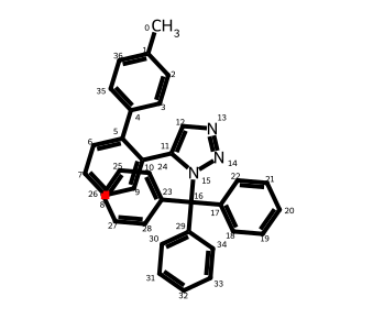 Cc1ccc(-c2ccccc2-c2cnnn2C(c2ccccc2)(c2ccccc2)c2ccccc2)cc1